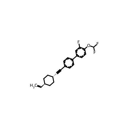 C=C[C@H]1CC[C@H](C#Cc2ccc(-c3ccc(OC(F)F)c(F)c3)cc2)CC1